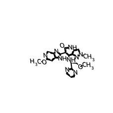 COC[C@H](Nc1c(-c2nc3cnc(OC)cc3[nH]2)c(=O)[nH]c2cn(C)nc12)c1ncccn1